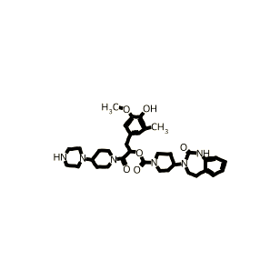 COc1cc(CC(OC(=O)N2CCC(N3CCc4ccccc4NC3=O)CC2)C(=O)N2CCC(N3CCNCC3)CC2)cc(C)c1O